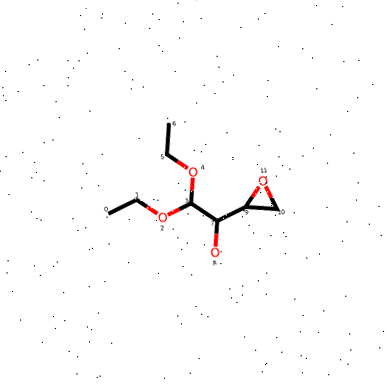 CCOC(OCC)C([O])C1CO1